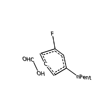 CCCCCc1cccc(F)c1.O=CO